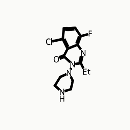 CCc1nc2c(F)ccc(Cl)c2c(=O)n1N1CCNCC1